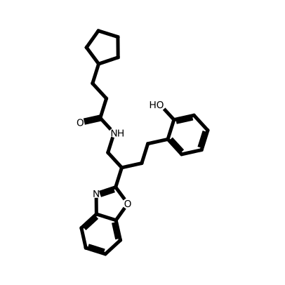 O=C(CCC1CCCC1)NCC(CCc1ccccc1O)c1nc2ccccc2o1